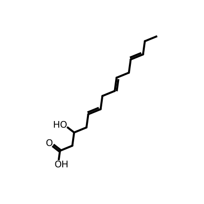 CC/C=C/C/C=C/C/C=C/CC(O)CC(=O)O